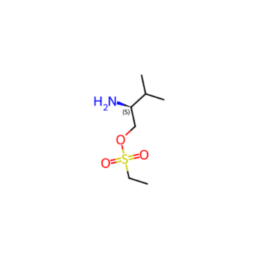 CCS(=O)(=O)OC[C@@H](N)C(C)C